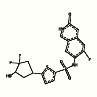 O=c1cc2cc(F)c(NS(=O)(=O)c3ccc(C4CC(O)C(F)(F)C4)s3)cc2c[nH]1